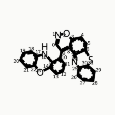 C1=NOc2ccc3c(c2=C1c1cccc2c1Nc1ccccc1O2)=Nc1ccccc1S3